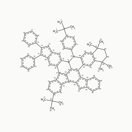 CC(C)(C)c1ccc(N2B3c4cc5sc(-c6ccccc6)c(-c6ccccc6)c5cc4-n4c5ccc(C(C)(C)C)cc5c5c6oc7ccccc7c6c(c3c54)-c3cc4c(cc32)C(C)(C)CCC4(C)C)cc1